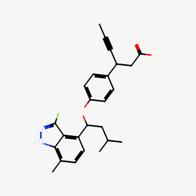 CC#CC(CC(=O)O)c1ccc(OC(CC(C)C)c2ccc(C)c3[nH]nc(F)c23)cc1